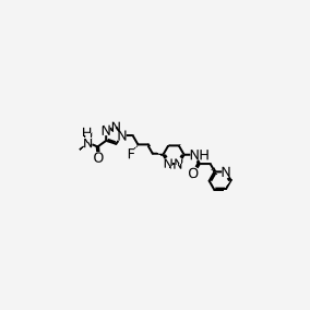 CNC(=O)c1cn(C[C@@H](F)CCC2=NN=C(NC(=O)Cc3ccccn3)CC2)nn1